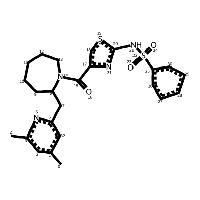 Cc1cc(C)nc(CC2CCCCCN2C(=O)c2csc(NS(=O)(=O)c3ccccc3)n2)c1